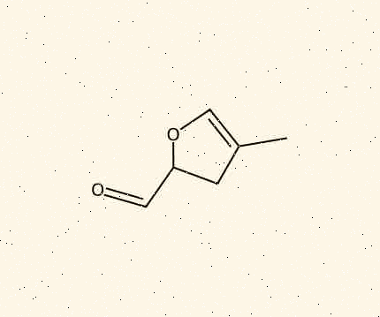 CC1=COC(C=O)C1